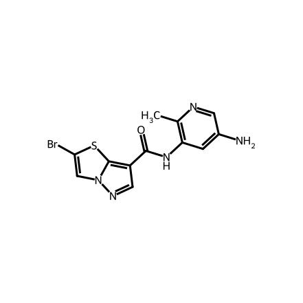 Cc1ncc(N)cc1NC(=O)c1cnn2cc(Br)sc12